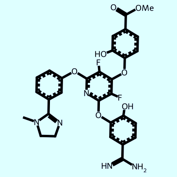 COC(=O)c1ccc(Oc2c(F)c(Oc3cccc(C4=NCCN4C)c3)nc(Oc3cc(C(=N)N)ccc3O)c2F)c(O)c1